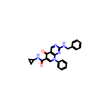 O=C(NC1CC1)c1cn(-c2ccccc2)c2nc(NCc3ccccc3)ncc2c1=O